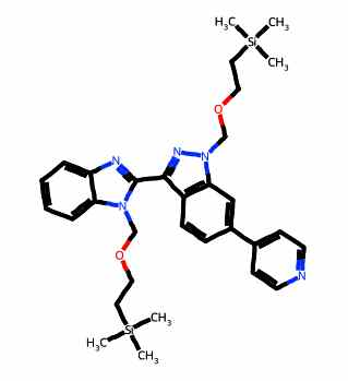 C[Si](C)(C)CCOCn1nc(-c2nc3ccccc3n2COCC[Si](C)(C)C)c2ccc(-c3ccncc3)cc21